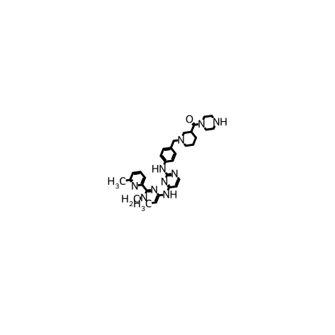 C=N/C(=N\C(=C/C)Nc1ccnc(Nc2ccc(CN3CCCC(C(=O)N4CCNCC4)C3)cc2)n1)c1cccc(C)n1